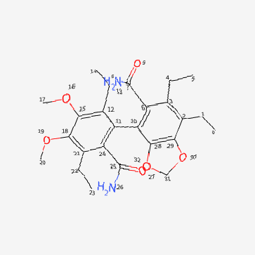 CCc1c(CC)c(C(N)=O)c(-c2c(CC)c(OC)c(OC)c(CC)c2C(N)=O)c2c1OCO2